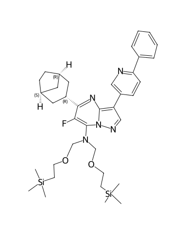 C[Si](C)(C)CCOCN(COCC[Si](C)(C)C)c1c(F)c([C@H]2C[C@@H]3CC[C@@H](C3)C2)nc2c(-c3ccc(-c4ccccc4)nc3)cnn12